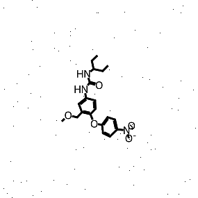 CCC(CC)NC(=O)Nc1ccc(Oc2ccc([N+](=O)[O-])cc2)c(COC)c1